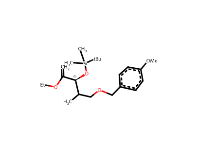 C=C(OCC)[C@@H](O[Si](C)(C)C(C)(C)C)C(C)COCc1ccc(OC)cc1